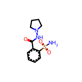 NS(=O)(=O)c1ccccc1C(=O)NN1CCCC1